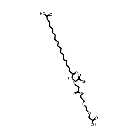 O=C(O)CCCCCCCCCCCCCCCCCC(=O)N[C@@H](CCC(=O)NCCOCCOCC(=O)O)C(=O)O